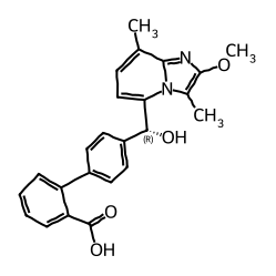 COc1nc2c(C)ccc([C@H](O)c3ccc(-c4ccccc4C(=O)O)cc3)n2c1C